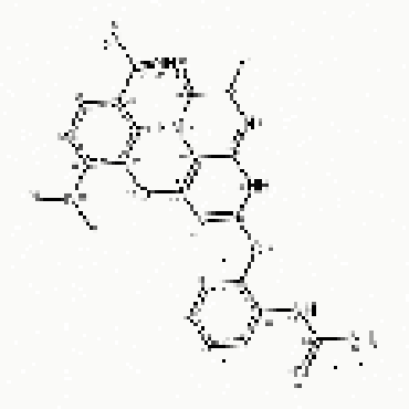 CC1N=C2NC(Oc3ccccc3NC(=N)N)=NC(Oc3cc(C(=N)N)ccc3N(C)C)=C2NC1=O